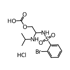 CC(C)NC(COC(=O)O)NS(=O)(=O)c1ccccc1Br.Cl